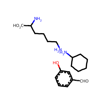 NC1CCCCC1.NCCCCC(N)C(=O)O.O=Cc1cccc(O)c1